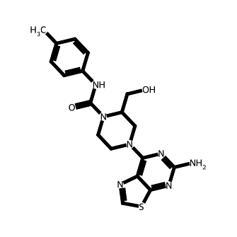 Cc1ccc(NC(=O)N2CCN(c3nc(N)nc4scnc34)CC2CO)cc1